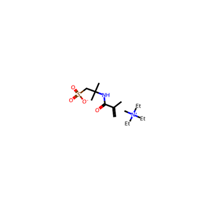 C=C(C)C(=O)NC(C)(C)CS(=O)(=O)[O-].CC[N+](C)(CC)CC